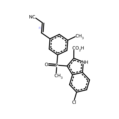 Cc1cc(/C=C/C#N)cc(P(C)(=O)c2c(C(=O)O)[nH]c3ccc(Cl)cc23)c1